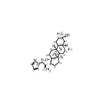 C=C(Cn1cccn1)[C@H]1CC[C@H]2[C@@H]3C[C@@H](F)[C@H]4C[C@](C)(O)CC[C@@H]4[C@H]3CC[C@]12C